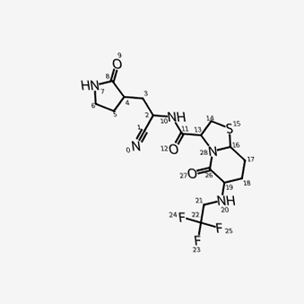 N#CC(CC1CCNC1=O)NC(=O)C1CSC2CCC(NCC(F)(F)F)C(=O)N21